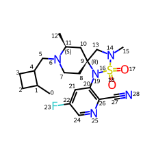 CC1CCC1CN1CC[C@@]2(C[C@@H]1C)CN(C)S(=O)(=O)N2c1cc(F)cnc1C#N